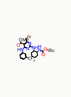 COC(=O)c1c(CBr)nc(NC2CCCC[C@@H]2NC(=O)OC(C)(C)C)nc1Nc1cccc(C(F)(F)F)c1